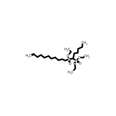 C=CCCCCCCCCCP(=O)(OCC)C(CCCCC)P(=O)(OCC)OCC